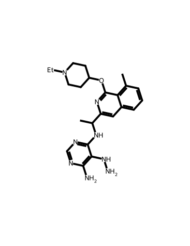 CCN1CCC(Oc2nc(C(C)Nc3ncnc(N)c3NN)cc3cccc(C)c23)CC1